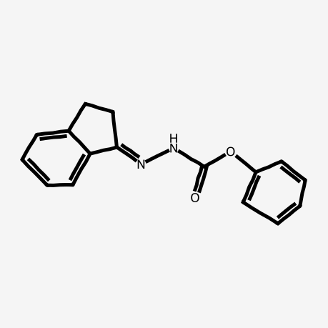 O=C(NN=C1CCc2ccccc21)Oc1ccccc1